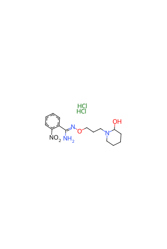 Cl.Cl.NC(=NOCCCN1CCCCC1O)c1ccccc1[N+](=O)[O-]